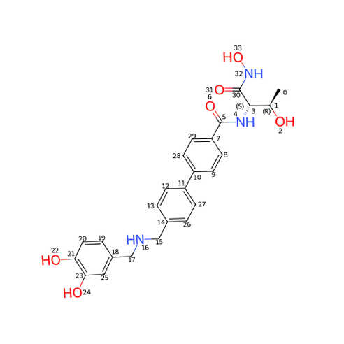 C[C@@H](O)[C@H](NC(=O)c1ccc(-c2ccc(CNCc3ccc(O)c(O)c3)cc2)cc1)C(=O)NO